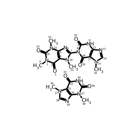 Cn1c(=O)c2c(nc(-n3c(=O)[nH]c4ncn(C)c4c3=O)n2C)n(C)c1=O.Cn1cnc2c1c(=O)[nH]c(=O)n2C